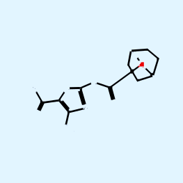 Cc1nc(SC(=S)N2CC3CCC(CC3)C2)sc1C(N)=O